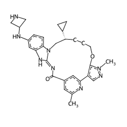 Cc1cc2cc(n1)-c1cnn(C)c1OCCC[C@@H](C1CC1)CN1/C(=N/C2=O)Nc2cc(NC3CNC3)ccc21